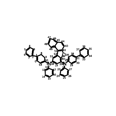 C1=C(c2ccccc2)CCC(N(c2ccccc2)c2cc(N(c3ccccc3)c3ccc(-c4ccccc4)cc3)c3oc4ccc5ccccc5c4c3c2)=C1